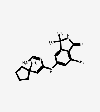 Cc1cc(NC(=C/C2(N)CCCC2)/N=C\N)cc2c1C(=O)NC2(C)C